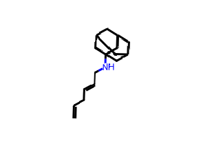 C=CCC=CCNC12CC3CC(CC(C3)C1)C2